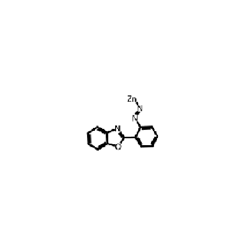 [Zn][N]=Nc1ccccc1-c1nc2ccccc2o1